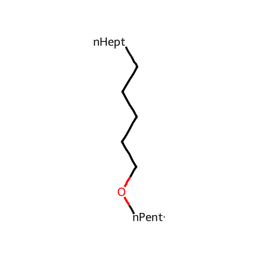 CCCC[CH]OCCCCCCCCCCCC